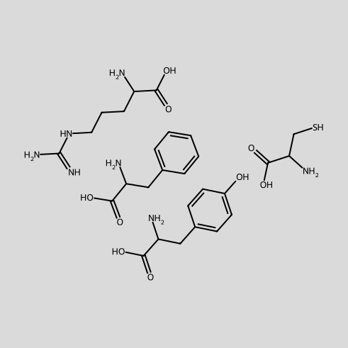 N=C(N)NCCCC(N)C(=O)O.NC(CS)C(=O)O.NC(Cc1ccc(O)cc1)C(=O)O.NC(Cc1ccccc1)C(=O)O